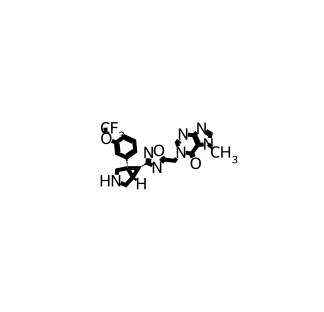 Cn1cnc2ncn(Cc3nc([C@@H]4[C@@H]5CNC[C@@]45c4cccc(OC(F)(F)F)c4)no3)c(=O)c21